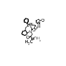 CN(C)C(=O)CN1C(=O)[C@H](NC(=O)[C@@H]2CCC(=O)N2)[C@H](c2ccccc2)Cc2ccccc21